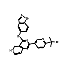 CC(C)(O)c1ccc(-c2cc3c(c(Nc4ccc5[nH]ncc5c4)n2)CNC=C3)cn1